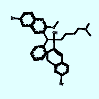 COc1nc2ccc(Br)cc2cc1C(c1ccccc1)C(O)(CCCCN(C)C)C1=Cc2ccc(Br)cc2CC1